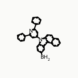 Bc1ccc2c(c1)c1c3ccccc3ccc1n2-c1cc(-c2ccccc2)nc(-c2ccccc2)c1